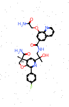 CC(O)(CNC(=O)c1cc(OCC(N)=O)c2ncccc2c1)c1cc2c(c(-c3ccc(F)cc3)n1)OC[C@]2(C)C(N)=O